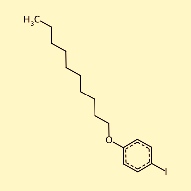 CCCCCCCCCCOc1ccc(I)cc1